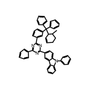 CC1CCC=CC1C(c1ccccc1)(c1ccccc1)c1cccc(-c2nc(-c3ccccc3)nc(-c3ccc4c(c3)c3ccccc3n4-c3ccccc3)n2)c1